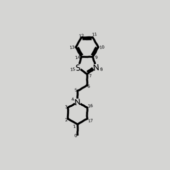 CC1CCN(CCc2nc3ccccc3s2)CC1